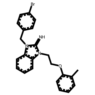 Cc1ccccc1OCCn1c(=N)n(Cc2ccc(Br)cc2)c2ccccc21